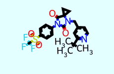 CC(C)(C)c1cc(CN2C(=O)N(c3ccc(S(=O)(=O)C(F)(F)F)cc3)C(=O)C23CC3)ccn1